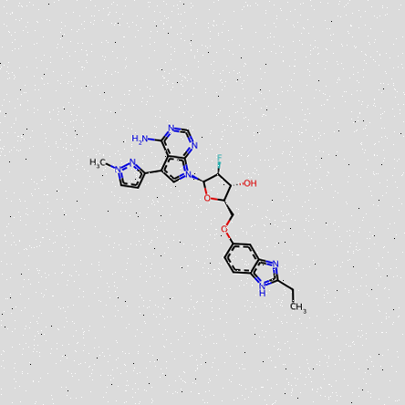 CCc1nc2cc(OC[C@H]3O[C@@H](n4cc(-c5ccn(C)n5)c5c(N)ncnc54)[C@@H](F)[C@@H]3O)ccc2[nH]1